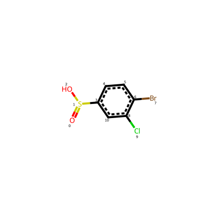 O=S(O)c1ccc(Br)c(Cl)c1